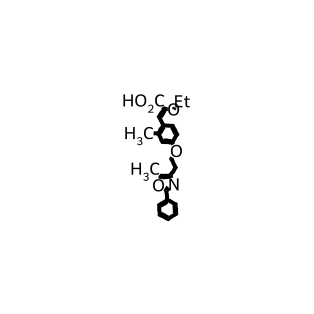 CCO/C(=C\c1ccc(OCCc2nc(-c3ccccc3)oc2C)cc1C)C(=O)O